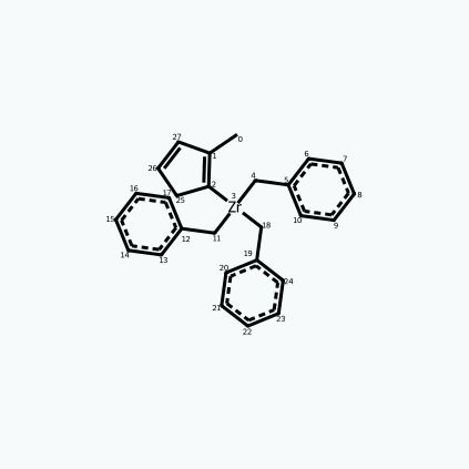 CC1=[C]([Zr]([CH2]c2ccccc2)([CH2]c2ccccc2)[CH2]c2ccccc2)CC=C1